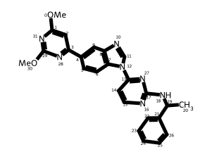 COc1cc(-c2ccc3c(c2)ncn3-c2ccnc(NC(C)c3ccccc3)n2)nc(OC)n1